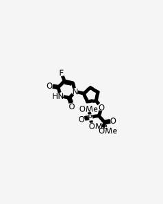 COC(=O)C(OC1CCC(n2cc(F)c(=O)[nH]c2=O)C1)P(=O)(OC)OC